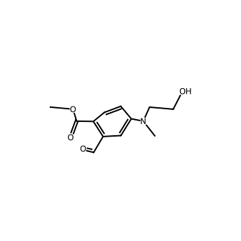 COC(=O)c1ccc(N(C)CCO)cc1C=O